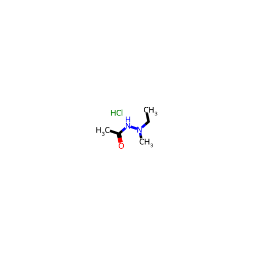 CCN(C)NC(C)=O.Cl